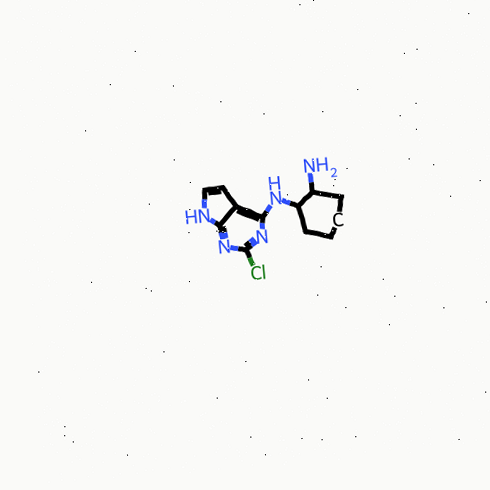 NC1CCCCC1Nc1nc(Cl)nc2[nH]ccc12